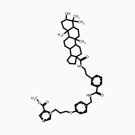 COC(=O)c1cncn1CCCOc1ccc(CNC(=O)c2cccc(CCNC(=O)C34CCCC3C3CCC5C(C)(CCC6C(C)(C)C(O)CCC65C)C3CC4)c2)cc1